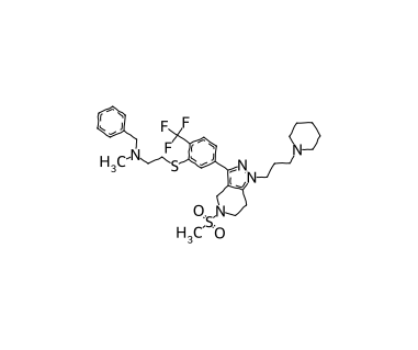 CN(CCSc1cc(-c2nn(CCCN3CCCCC3)c3c2CN(S(C)(=O)=O)CC3)ccc1C(F)(F)F)Cc1ccccc1